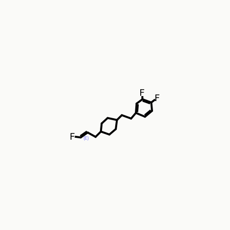 F/C=C/CC1CCC(CCc2ccc(F)c(F)c2)CC1